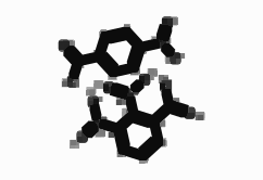 O=C(Cl)c1ccc([N+](=O)[O-])cc1.O=C(Cl)c1cccc([N+](=O)[O-])c1[N+](=O)[O-]